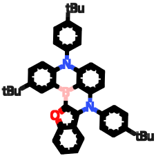 CC(C)(C)c1ccc(N2c3ccc(C(C)(C)C)cc3B3c4oc5ccccc5c4N(c4ccc(C(C)(C)C)cc4)c4cccc2c43)cc1